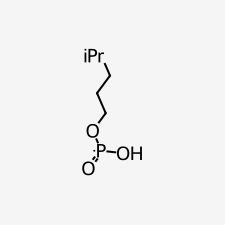 CC(C)CCCO[P](=O)O